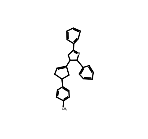 Cc1ccc(C2CC=C(C3CC(c4ccccc4)=NC3c3ccccc3)C2)cc1